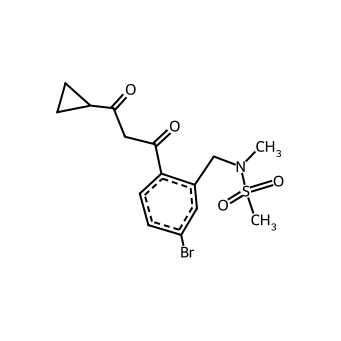 CN(Cc1cc(Br)ccc1C(=O)CC(=O)C1CC1)S(C)(=O)=O